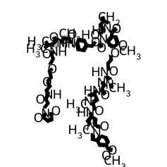 C=C1C[C@H]2C(O)N(C(=O)OCc3ccc(NC(=O)[C@H](C)NC(=O)[C@@H](NC(=O)CCOCCOCCNC(=O)CCN4C(=O)C=CC4=O)C(C)C)cc3)c3cc(OCCCC(=O)Nc4cn(C)c(C(=O)Nc5cc(C(=O)Nc6cc(C(=O)n7ccc8cc(C(=O)OC)ccc87)n(C)c6)n(C)c5)n4)c(OC)cc3C(=O)N2C1